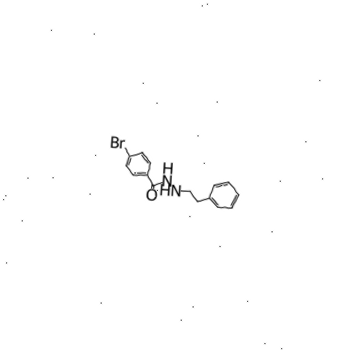 O=C(NNCCc1ccccc1)c1ccc(Br)cc1